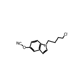 N#COc1ccc2c(ccn2CCCCCl)c1